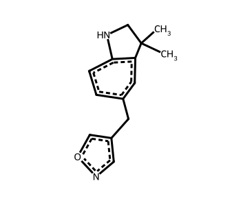 CC1(C)CNc2ccc(Cc3cnoc3)cc21